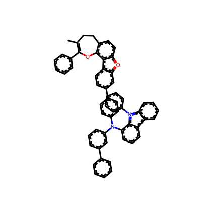 CC1=C(c2ccccc2)Oc2c(ccc3oc4cc(-c5ccc(N(c6cccc(-c7ccccc7)c6)c6cccc7c8ccccc8n(-c8ccccc8)c67)cc5)ccc4c23)CC1